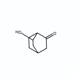 O=C1CC2CCC1C(O)C2